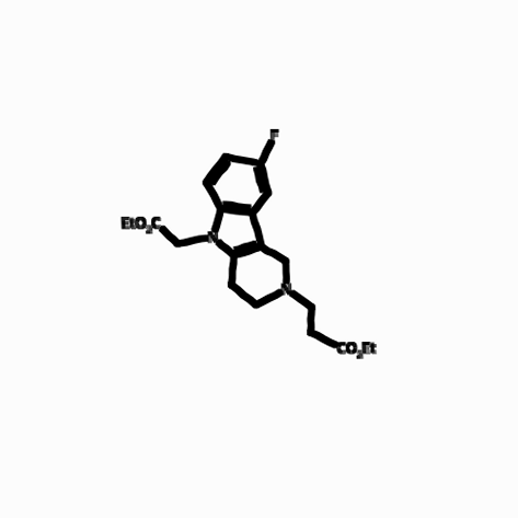 CCOC(=O)CCN1CCc2c(c3cc(F)ccc3n2CC(=O)OCC)C1